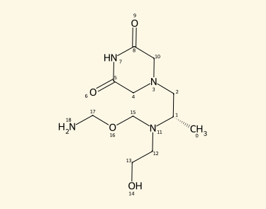 C[C@@H](CN1CC(=O)NC(=O)C1)N(CCO)COCN